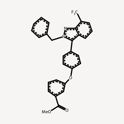 COC(=O)c1cccc(Oc2ccc(-c3c4cccc(C(F)(F)F)c4nn3Cc3ccccc3)cc2)c1